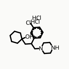 Cl.Cl.OC1(CC(CN2CCNCC2)c2cccc(Cl)c2)CCCCC1